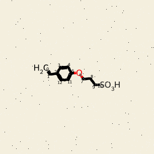 C=Cc1ccc(OCCCS(=O)(=O)O)cc1